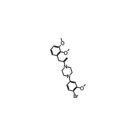 C=C(Cc1cccc(OC)c1OC)N1CCN(c2ccc(Br)c(OC)c2)CC1